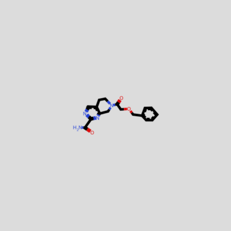 NC(=O)c1n[c]c2c(n1)CN(C(=O)COCc1ccccc1)CC2